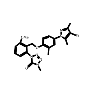 CCc1c(C)nn(-c2ccc(OCc3c(OC)cccc3-n3nnn(C)c3=O)c(C)c2)c1C